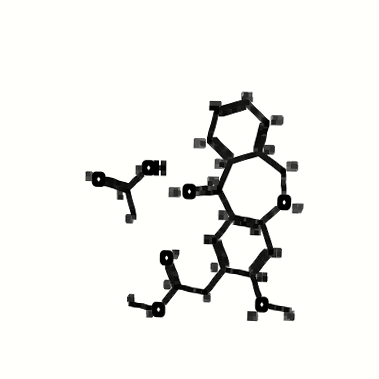 CC(=O)O.COC(=O)Cc1cc2c(cc1OC)OCc1ccccc1C2=O